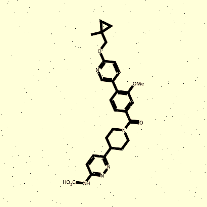 COc1cc(C(=O)N2CCC(c3ccc(NC(=O)O)nn3)CC2)ccc1-c1ccc(OCC2(C)CC2)nc1